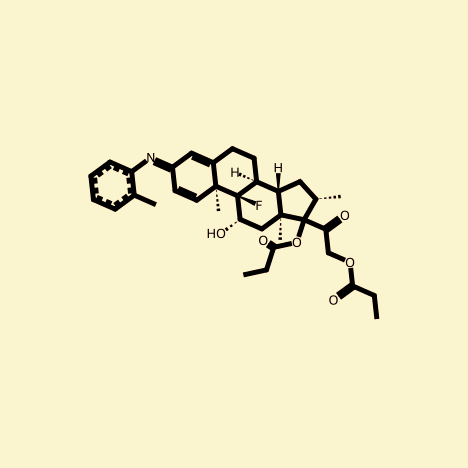 CCC(=O)OCC(=O)C1(OC(=O)CC)[C@@H](C)C[C@H]2[C@@H]3CCC4=C/C(=N/c5ccccc5C)C=C[C@]4(C)[C@@]3(F)[C@@H](O)C[C@@]21C